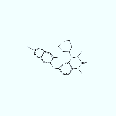 Cc1nc2cc(C)c(Nc3ncc4c(n3)N(C3CCOCC3)C(C)C(=O)N4C)cc2s1